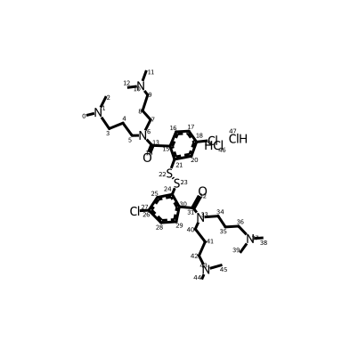 CN(C)CCCN(CCCN(C)C)C(=O)c1ccc(Cl)cc1SSc1cc(Cl)ccc1C(=O)N(CCCN(C)C)CCCN(C)C.Cl.Cl